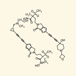 CC(CCN1Cc2cc(C#CC#CC3(O)CCN(C4COC4)CC3)cn2C1=O)(C(=O)NO)S(C)(=O)=O.CN(C)C[C@@H]1CC1C#CC#Cc1cc2n(c1)C(=O)N(CC[C@](C)(C(=O)NO)S(C)(=O)=O)C2